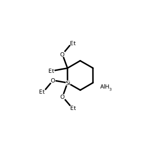 CCOC1(CC)CCCC[Si]1(OCC)OCC.[AlH3]